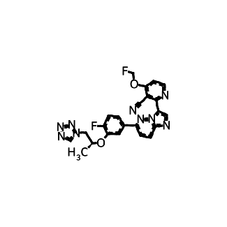 C[C@@H](Cn1cnnn1)Oc1cc(-c2ccc3ncc(-c4nccc(OCF)c4C#N)n3n2)ccc1F